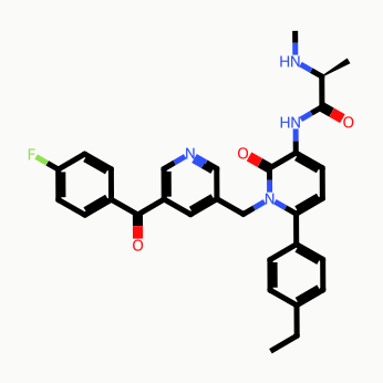 CCc1ccc(-c2ccc(NC(=O)[C@H](C)NC)c(=O)n2Cc2cncc(C(=O)c3ccc(F)cc3)c2)cc1